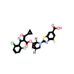 O=C(O)c1cc(F)c2nc(N3C[C@H]4C[C@@H]3[C@H](OC(=O)c3c(-c5c(Cl)cccc5Cl)noc3C3CC3)C4)sc2c1